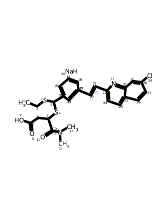 CCSC(SC(CC(=O)O)C(=O)N(C)C)c1cccc(/C=C/c2ccc3ccc(Cl)cc3n2)c1.[NaH]